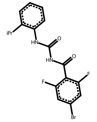 CC(C)c1ccccc1NC(=O)NC(=O)c1c(F)cc(Br)cc1F